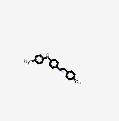 Cc1ccc(Nc2ccc(/C=C/c3ccc(O)cc3)cc2)cc1